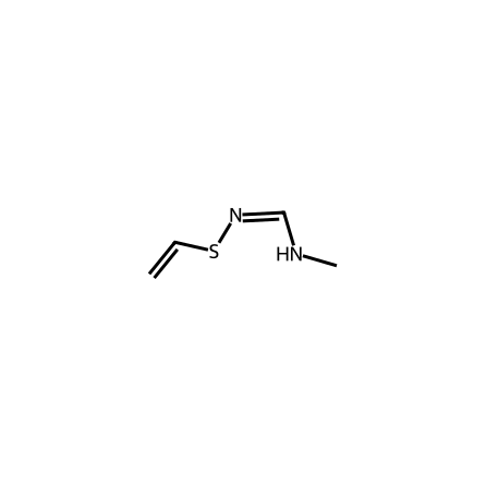 C=CS/N=C\NC